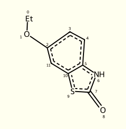 CCOc1ccc2[nH]c(=O)sc2c1